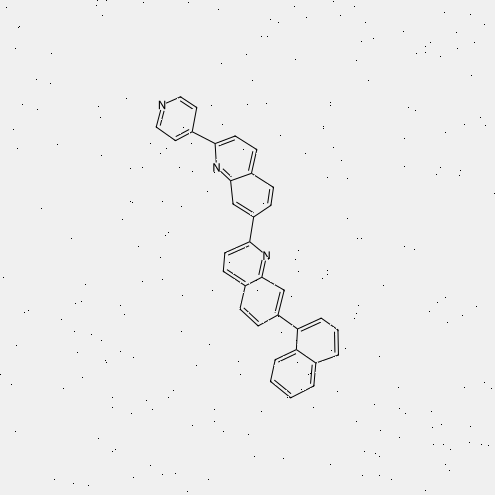 c1ccc2c(-c3ccc4ccc(-c5ccc6ccc(-c7ccncc7)nc6c5)nc4c3)cccc2c1